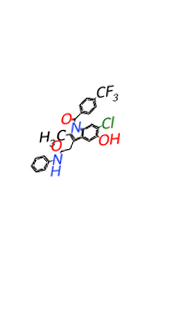 Cc1c(CC(=O)Nc2ccccc2)c2cc(O)c(Cl)cc2n1C(=O)c1ccc(C(F)(F)F)cc1